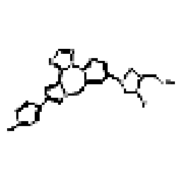 CNCC1CN(c2ccc3c(c2)Cn2cc(-c4ccc(F)cc4)cc2-c2ncnn2-3)CC1F